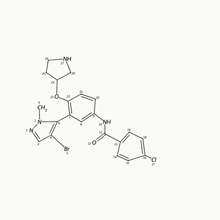 Cn1ncc(Br)c1-c1cc(NC(=O)c2ccc(Cl)cc2)ccc1OC1CCNC1